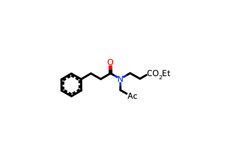 CCOC(=O)CCN(CC(C)=O)C(=O)CCc1ccccc1